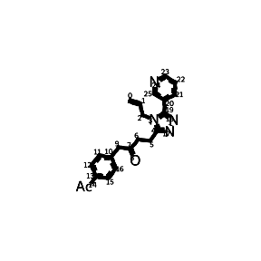 C=CCn1c(CCC(=O)Cc2ccc(C(C)=O)cc2)nnc1-c1cccnc1